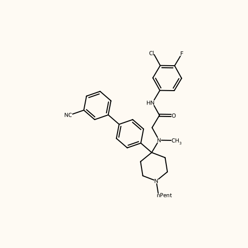 CCCCCN1CCC(c2ccc(-c3cccc(C#N)c3)cc2)(N(C)CC(=O)Nc2ccc(F)c(Cl)c2)CC1